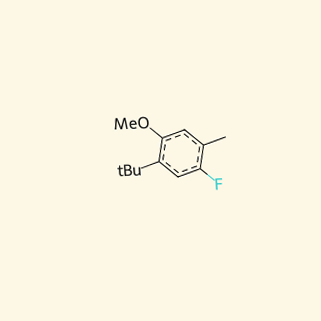 COc1cc(C)c(F)cc1C(C)(C)C